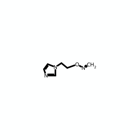 C=NOCCn1ccnc1